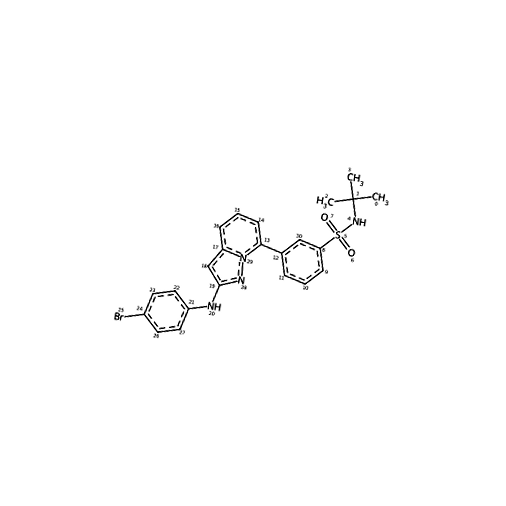 CC(C)(C)NS(=O)(=O)c1cccc(-c2cccc3cc(Nc4ccc(Br)cc4)nn23)c1